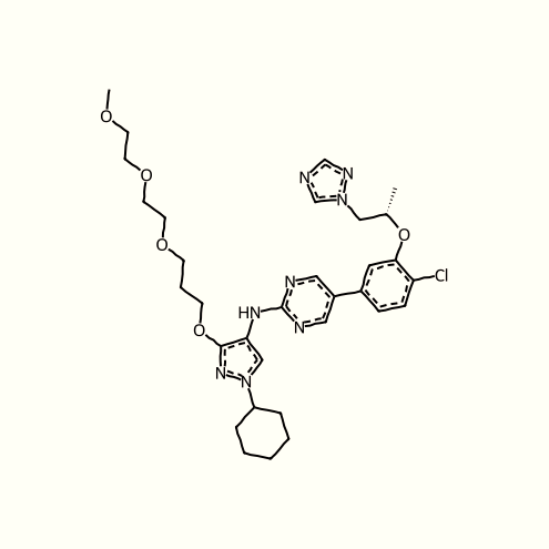 COCCOCCOCCCOc1nn(C2CCCCC2)cc1Nc1ncc(-c2ccc(Cl)c(O[C@@H](C)Cn3cncn3)c2)cn1